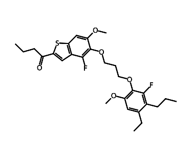 CCCC(=O)c1cc2c(F)c(OCCCOc3c(OC)cc(CC)c(CCC)c3F)c(OC)cc2s1